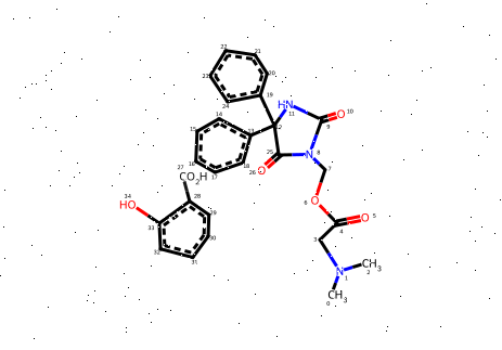 CN(C)CC(=O)OCN1C(=O)NC(c2ccccc2)(c2ccccc2)C1=O.O=C(O)c1ccccc1O